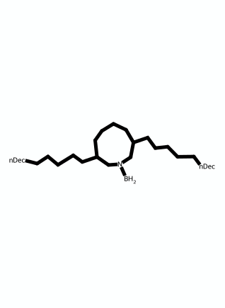 BN1CC(CCCCCCCCCCCCCCC)CCCCC(CCCCCCCCCCCCCCC)C1